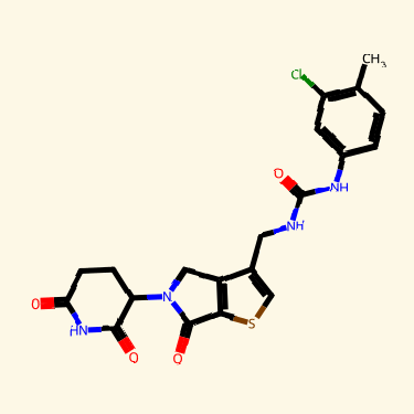 Cc1ccc(NC(=O)NCc2csc3c2CN(C2CCC(=O)NC2=O)C3=O)cc1Cl